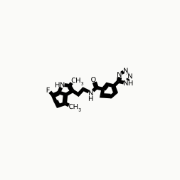 Cc1[nH]c2c(F)ccc(C)c2c1CCNC(=O)c1cccc(-c2nnn[nH]2)c1